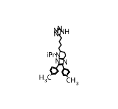 Cc1ccc(-c2nc3c(nc2-c2ccc(C)cc2)N(C(C)C)C(CCCCc2nnn[nH]2)CC3)cc1